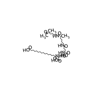 CC(=O)[C@@H](C)CCCCNC(=O)[C@@H](C)CCCCNC(=O)CC[C@H](NC(=O)CC[C@H](NC(=O)CCCCCCCCCCCCCCC(=O)O)C(=O)O)C(=O)O